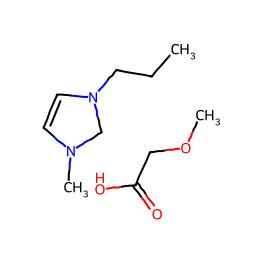 CCCN1C=CN(C)C1.COCC(=O)O